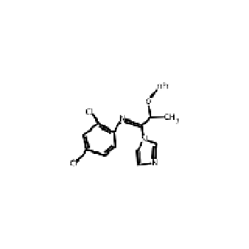 CCCOC(C)C(=Nc1ccc(Cl)cc1Cl)n1ccnc1